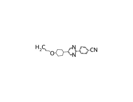 C=CCOC1CCC(c2cnc(-c3ccc(C#N)cc3)nc2)CC1